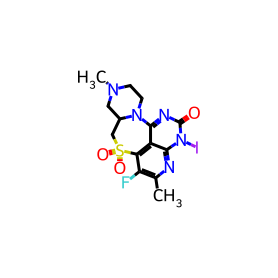 Cc1nc2c3c(nc(=O)n2I)N2CCN(C)CC2CS(=O)(=O)c3c1F